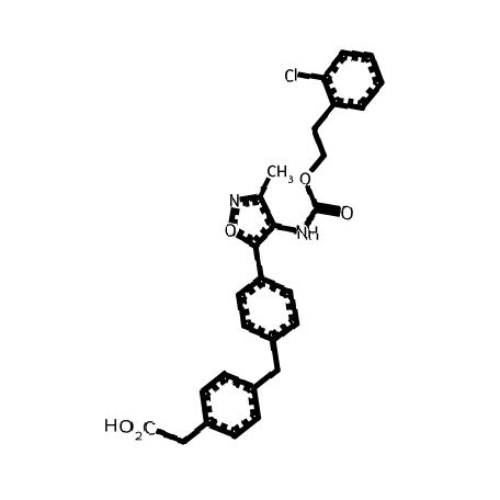 Cc1noc(-c2ccc(Cc3ccc(CC(=O)O)cc3)cc2)c1NC(=O)OCCc1ccccc1Cl